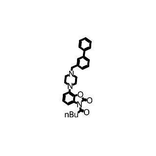 CCCCC(=O)n1c(=O)oc2c(N3CCN(Cc4cccc(-c5ccccc5)c4)CC3)cccc21